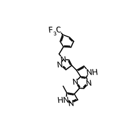 Cc1[nH]ncc1-c1cnc2[nH]cc(-c3cnn(Cc4cccc(C(F)(F)F)c4)c3)c2n1